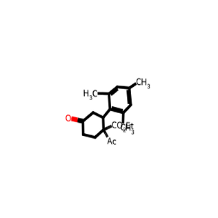 CCOC(=O)C1(C(C)=O)CCC(=O)CC1c1c(C)cc(C)cc1C